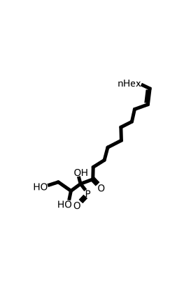 CCCCCC/C=C\CCCCCCCC(=O)C(O)(P=O)C(O)CO